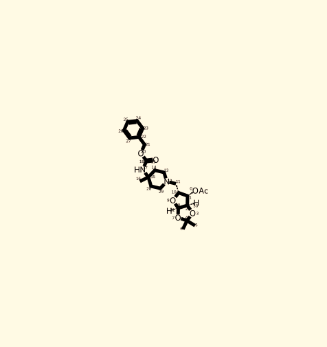 CC(=O)O[C@@H]1[C@H]2OC(C)(C)O[C@H]2O[C@@H]1CN1CCC(C)(NC(=O)OCc2ccccc2)CC1